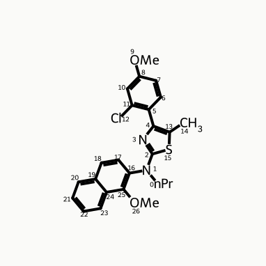 CCCN(c1nc(-c2ccc(OC)cc2Cl)c(C)s1)c1ccc2ccccc2c1OC